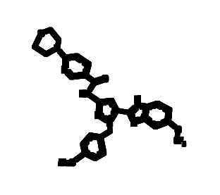 COc1ccc(Cn2nc(NC(=O)c3ccc(N4CCOCC4)nc3)cc2-c2nc3cc(OC(F)(F)F)ccc3[nH]2)cc1